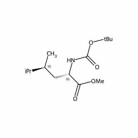 COC(=O)[C@H](C[C@H](C)C(C)C)NC(=O)OC(C)(C)C